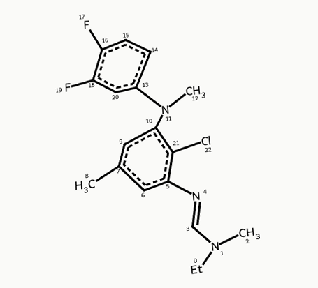 CCN(C)C=Nc1cc(C)cc(N(C)c2ccc(F)c(F)c2)c1Cl